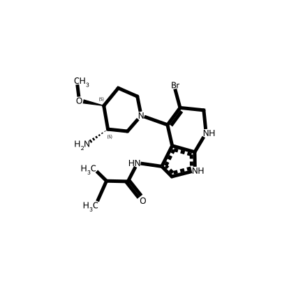 CO[C@H]1CCN(C2=C(Br)CNc3[nH]cc(NC(=O)C(C)C)c32)C[C@@H]1N